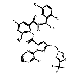 Cc1cc(Cl)cc(C(=O)NC(C)c2cc(Cl)ccc2Cl)c1NC(=O)c1cc(Cn2nnc(C(F)(F)F)n2)nn1-c1ncccc1Cl